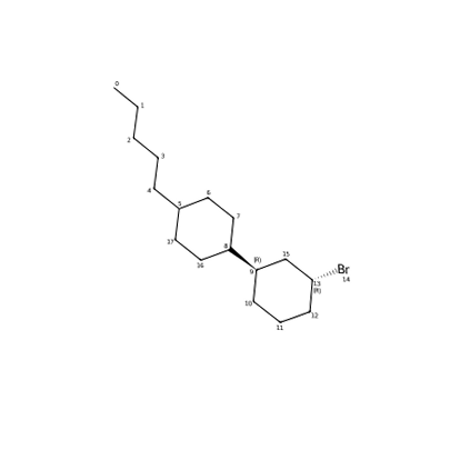 CCCCCC1CCC([C@@H]2CCC[C@@H](Br)C2)CC1